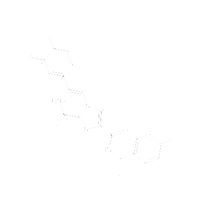 Cc1ccc(-c2cn3cc(C(=O)N[C@@H](C)c4ccc(F)cc4)nc3c(=O)[nH]2)cc1C